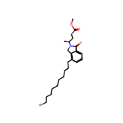 COC(=O)CCC(C)N1Cc2c(CCCCCCCCCCBr)cccc2C1=O